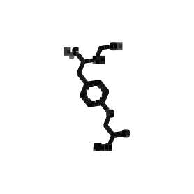 COC(=O)COc1ccc(CC(C)NCO)cc1